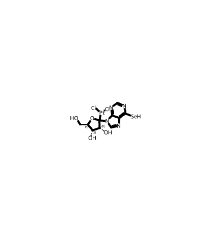 OC[C@H]1O[C](n2cnc3c([SeH])ncnc32)([Pt]([Cl])[Cl])[C@H](O)[C@@H]1O